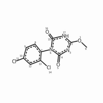 COc1nc(=O)n(-c2ccc(Cl)cc2Cl)c(=O)[nH]1